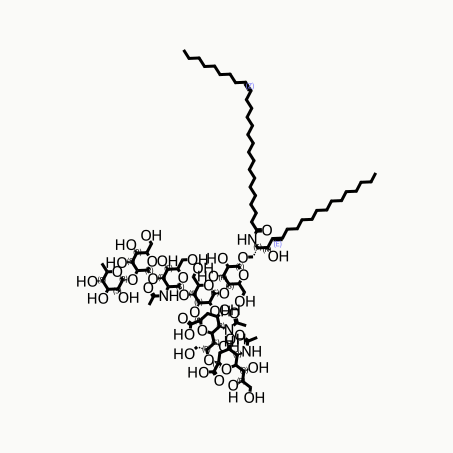 CCCCCCCC/C=C\CCCCCCCCCCCCCCCC(=O)N[C@@H](CO[C@@H]1OC(CO)[C@@H](O[C@@H]2OC(CO)[C@H](O[C@@H]3OC(CO)[C@H](O)[C@H](O[C@@H]4OC(CO)[C@H](O)[C@H](O)C4O[C@H]4OC(C)[C@@H](O)C(O)[C@@H]4O)C3NC(C)=O)[C@H](O[C@]3(C(=O)O)CC(O)[C@@H](NC(C)=O)C([C@H](O)[C@@H](CO)O[C@]4(C(=O)O)CC(O)[C@@H](NC(C)=O)C([C@H](O)[C@H](O)CO)O4)O3)C2O)[C@H](O)C1O)[C@H](O)/C=C/CCCCCCCCCCCCC